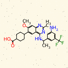 COc1cc2nc(C)nc(NC(C)c3cc(N)cc(C(F)(F)F)c3)c2cc1C1CCC(C(=O)O)CC1